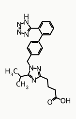 CC(C)c1nc(CCCC(=O)O)nn1Cc1ccc(-c2ccccc2-c2nnn[nH]2)cc1